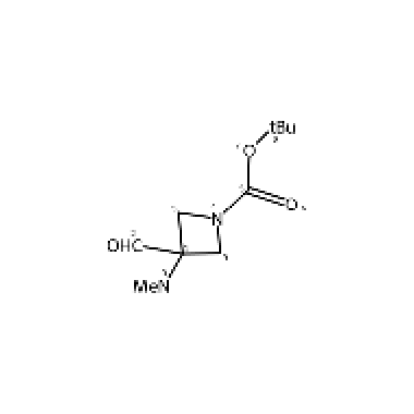 CNC1(C=O)CN(C(=O)OC(C)(C)C)C1